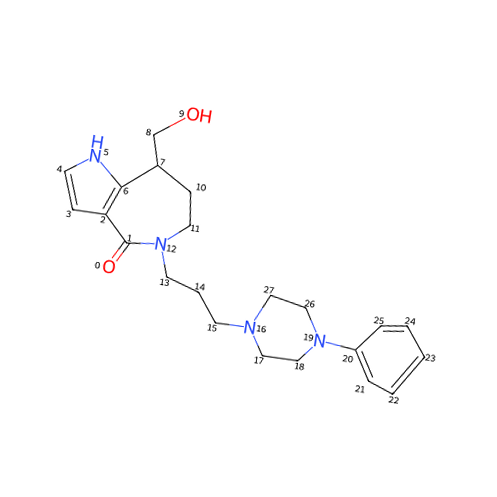 O=C1c2cc[nH]c2C(CO)CCN1CCCN1CCN(c2ccccc2)CC1